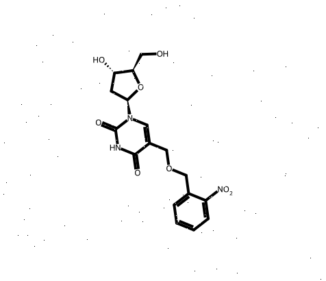 O=c1[nH]c(=O)n([C@H]2C[C@H](O)[C@@H](CO)O2)cc1COCc1ccccc1[N+](=O)[O-]